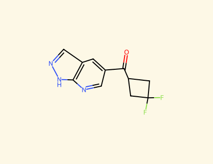 O=C(c1cnc2[nH]ncc2c1)C1CC(F)(F)C1